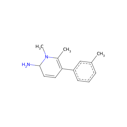 CC1=C(c2cccc(C)c2)C=CC(N)N1C